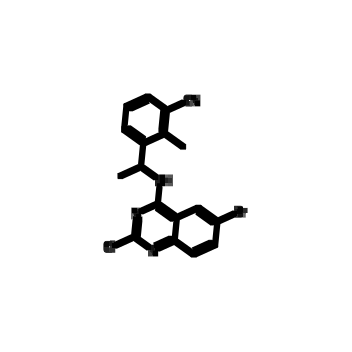 Cc1c(C#N)cccc1C(C)Nc1nc(Cl)nc2ccc(Br)cc12